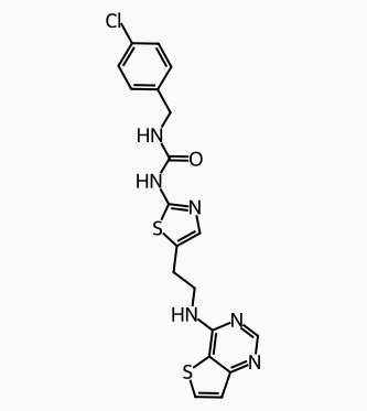 O=C(NCc1ccc(Cl)cc1)Nc1ncc(CCNc2ncnc3ccsc23)s1